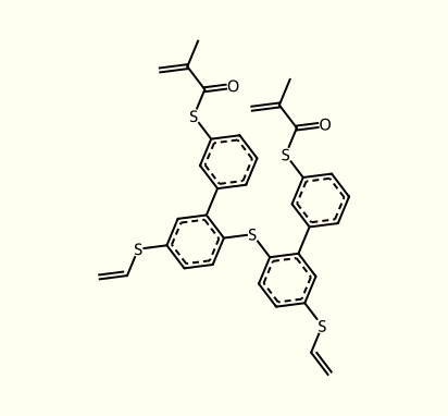 C=CSc1ccc(Sc2ccc(SC=C)cc2-c2cccc(SC(=O)C(=C)C)c2)c(-c2cccc(SC(=O)C(=C)C)c2)c1